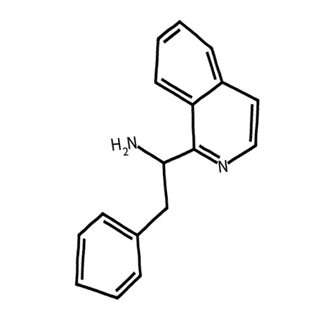 NC(Cc1ccccc1)c1nccc2ccccc12